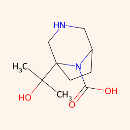 CC(C)(O)C12CCC(CNC1)N2C(=O)O